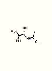 CC/C(C)=N\NC(=N)N.Cl